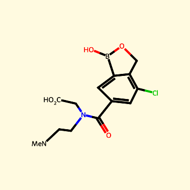 CNCCN(CC(=O)O)C(=O)c1cc(Cl)c2c(c1)B(O)OC2